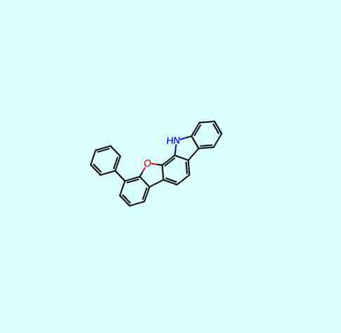 c1ccc(-c2cccc3c2oc2c3ccc3c4ccccc4[nH]c32)cc1